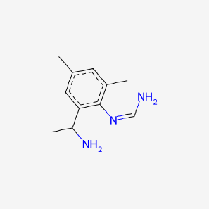 Cc1cc(C)c(/N=C\N)c(C(C)N)c1